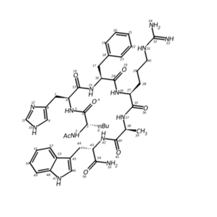 CCCC[C@H](NC(C)=O)C(=O)N[C@@H](Cc1c[nH]cn1)C(=O)N[C@@H](Cc1ccccc1)C(=O)N[C@@H](CCCNC(=N)N)C(=O)N[C@@H](C)C(=O)N[C@@H](Cc1c[nH]c2ccccc12)C(N)=O